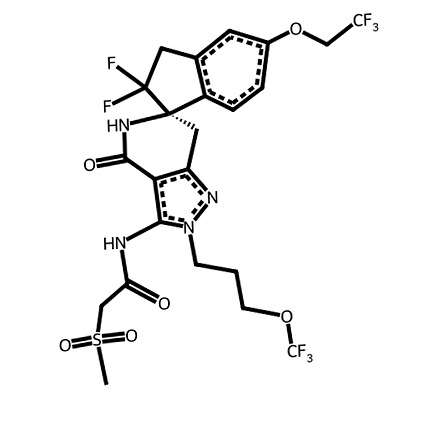 CS(=O)(=O)CC(=O)Nc1c2c(nn1CCCOC(F)(F)F)C[C@@]1(NC2=O)c2ccc(OCC(F)(F)F)cc2CC1(F)F